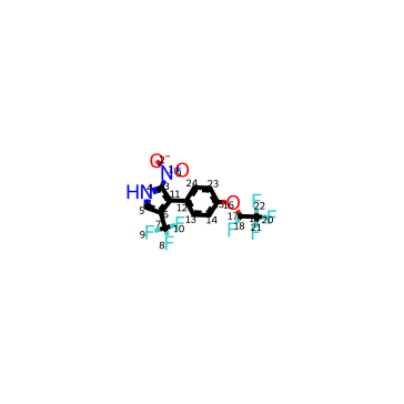 O=[N+]([O-])c1[nH]cc(C(F)(F)F)c1-c1ccc(OC(F)C(F)(F)F)cc1